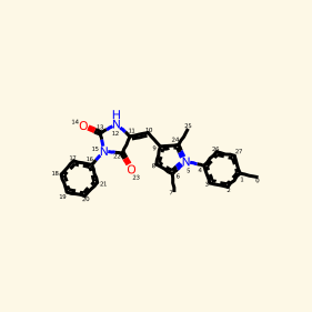 Cc1ccc(-n2c(C)cc(/C=C3/NC(=O)N(c4ccccc4)C3=O)c2C)cc1